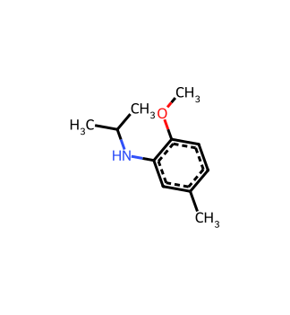 COc1ccc(C)cc1NC(C)C